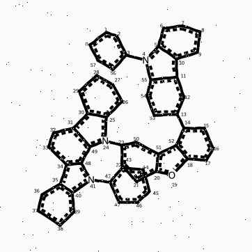 c1ccc(-n2c3ccccc3c3cc(-c4cccc5oc6ccc(-n7c8ccccc8c8ccc9c%10ccccc%10n(-c%10ccccc%10)c9c87)cc6c45)ccc32)cc1